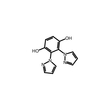 Oc1ccc(O)c(-n2cccn2)c1-n1cccn1